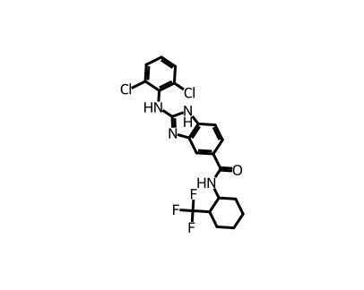 O=C(NC1CCCCC1C(F)(F)F)c1ccc2[nH]c(Nc3c(Cl)cccc3Cl)nc2c1